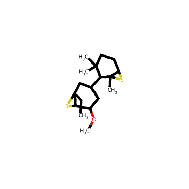 CCC12CC(C3C(C)(C)CCC4SC43C)CC(OC)C1S2